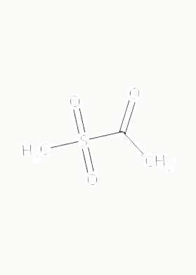 [CH2]C(=O)S(C)(=O)=O